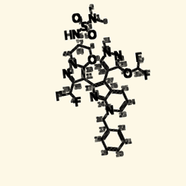 CN(C)S(=O)(=O)N[C@@H]1COc2c(-c3nc4n(Cc5ccccc5)cccc-4c3-c3cn(C)nc3OC(F)F)c(C(F)F)nn2C1